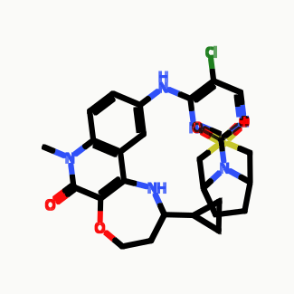 Cn1c(=O)c2c(c3cc(Nc4nc(N5C6CCC5CS(=O)(=O)C6)ncc4Cl)ccc31)NC(C1CC1)CCO2